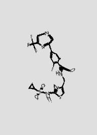 O=C(NCc1csc(NS(=O)(=O)C2CC2)n1)c1ccc(-c2cncc(C(F)(F)F)n2)cc1F